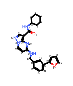 O=C(NC1CCCCC1)c1cnn2ccc(NCc3cccc(-c4ccco4)c3)nc12